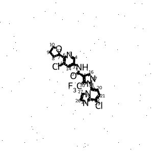 O=C(Nc1cnc(C2CCCO2)c(Cl)c1)c1cnn(-c2ccc(Cl)c3nccn23)c1C(F)(F)F